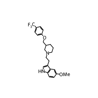 COc1ccc2[nH]cc(CCN3CCCC(COc4ccc(C(F)(F)F)cc4)C3)c2c1